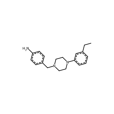 CCc1cccc(N2CCN(Cc3ccc(N)cc3)CC2)c1